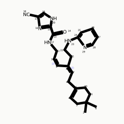 CC1(C)CC=C(C/C=C(\C=C/CNC(=O)c2nc(C#N)c[nH]2)CCNc2ccccn2)CC1